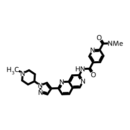 CNC(=O)c1ccc(C(=O)Nc2cc3nc(-c4cnn(C5CCN(C)CC5)c4)ccc3cn2)cn1